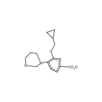 O=C(O)c1ccc(N2CCCOC2)c(OCC2CC2)n1